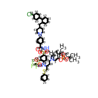 CCN(CCOP(OC(C)(C)C)OC(C)(C)C)CCC(CSc1ccccc1)Nc1ccc(S(=O)(=O)NC(=O)c2ccc(N3CCC(Cc4ccccc4-c4ccc(Cl)cc4)CC3)cc2)cc1S(=O)(=O)C(F)(F)F